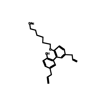 C=CCc1ccc(O)c(-c2cc(CC=C)ccc2OCCCCCCOC(C)=O)c1